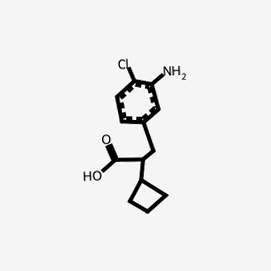 Nc1cc(CC(C(=O)O)C2CCC2)ccc1Cl